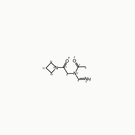 CC(=O)N(C=N)CC(=O)N1CCC1